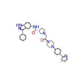 O=C(Nc1ccc2[nH]nc(-c3ccccc3)c2c1)[C@@H]1CCN(CC(=O)N2CCN(c3ccc(-c4nccs4)cc3)CC2)C1